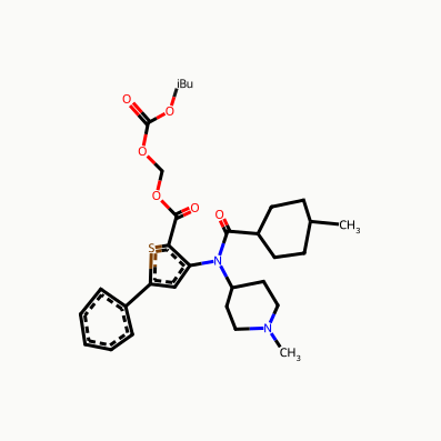 CCC(C)OC(=O)OCOC(=O)c1sc(-c2ccccc2)cc1N(C(=O)C1CCC(C)CC1)C1CCN(C)CC1